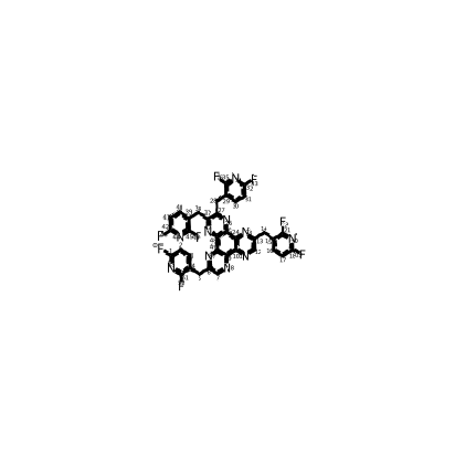 Fc1ccc(Cc2cnc3c4ncc(Cc5ccc(F)nc5F)nc4c4nc(Cc5ccc(F)nc5F)c(Cc5ccc(F)nc5F)nc4c3n2)c(F)n1